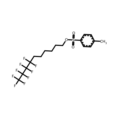 Cc1ccc(S(=O)(=O)OCCCCCCC(F)(F)C(F)(F)C(F)(F)C(F)(F)F)cc1